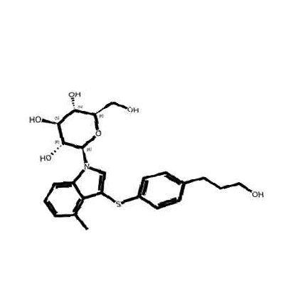 Cc1cccc2c1c(Sc1ccc(CCCO)cc1)cn2[C@@H]1O[C@H](CO)[C@@H](O)[C@H](O)[C@H]1O